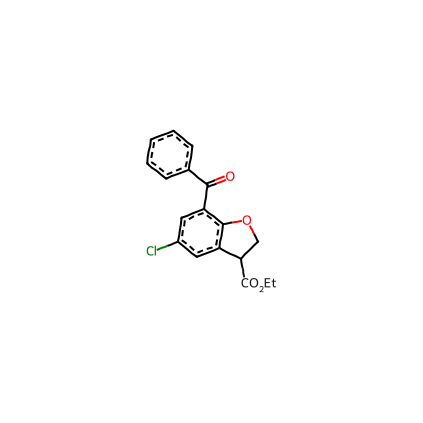 CCOC(=O)C1COc2c(C(=O)c3ccccc3)cc(Cl)cc21